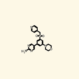 Nc1ncc(-c2cc(N3CCOCC3)cc(S(=O)(=O)Cc3ccncc3)c2)cn1